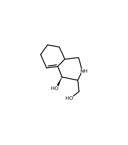 OCC1NCC2CCCC=C2[C@@H]1O